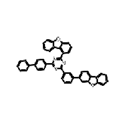 c1ccc(-c2ccc(-c3nc(-c4cccc(-c5ccc6c(c5)sc5ccccc56)c4)nc(-c4cccc5oc6ccccc6c45)n3)cc2)cc1